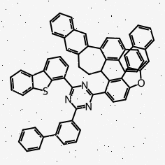 c1ccc(-c2cccc(-c3nc(-c4ccc5oc6cc7ccccc7cc6c5c4C4CCc5cc6ccccc6cc5-c5ccc6ccccc6c54)nc(-c4cccc5c4sc4ccccc45)n3)c2)cc1